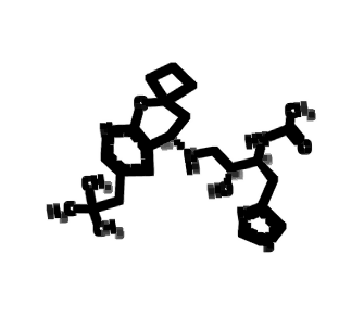 CC(=O)N[C@@H](Cc1cscn1)[C@H](O)CN[C@H]1CC2(CCC2)Oc2ncc(CC(C)(C)C)cc21